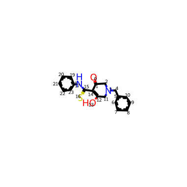 O=C1CN(Cc2ccccc2)CC(O)=C1C(=S)Nc1ccccc1